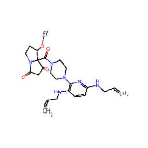 C=CCNc1ccc(NCC=C)c(N2CCN(C(=O)C34C(=O)CC(=O)N3CCC4OCC)CC2)n1